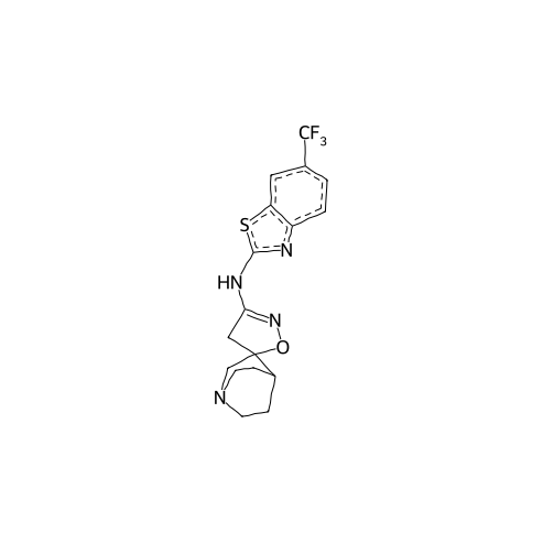 FC(F)(F)c1ccc2nc(NC3=NOC4(C3)CN3CCC4CC3)sc2c1